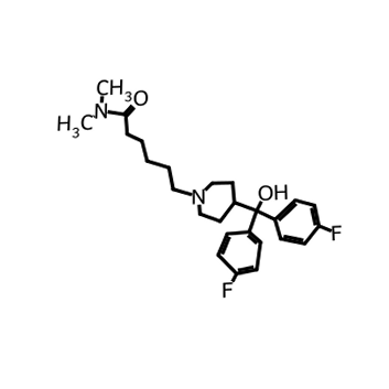 CN(C)C(=O)CCCCCN1CCC(C(O)(c2ccc(F)cc2)c2ccc(F)cc2)CC1